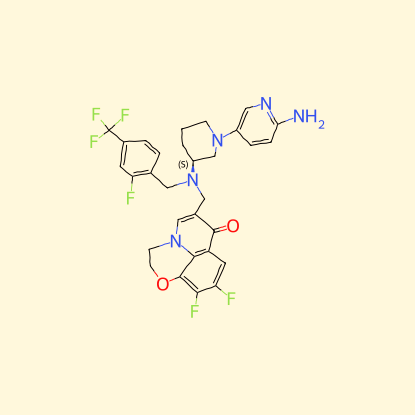 Nc1ccc(N2CCC[C@H](N(Cc3ccc(C(F)(F)F)cc3F)Cc3cn4c5c(c(F)c(F)cc5c3=O)OCC4)C2)cn1